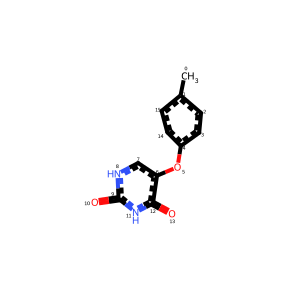 Cc1ccc(Oc2c[nH]c(=O)[nH]c2=O)cc1